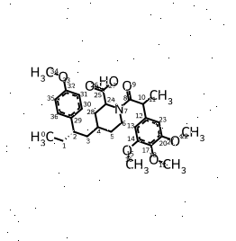 CC[C@@H](CC1CCN(C(=O)C(C)c2cc(OC)c(OC)c(OC)c2)C(C(=O)O)C1)c1ccc(OC)cc1